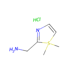 CS1(C)C=CN=C1CN.Cl